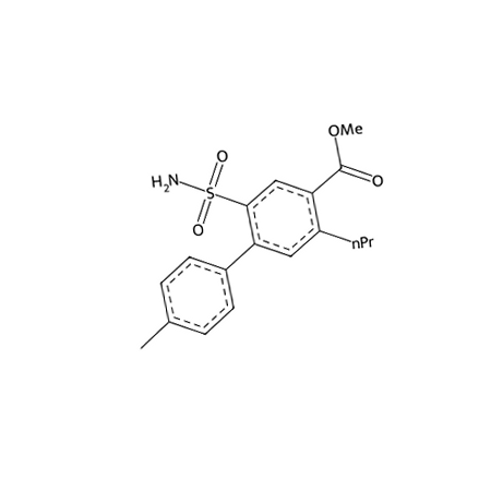 CCCc1cc(-c2ccc(C)cc2)c(S(N)(=O)=O)cc1C(=O)OC